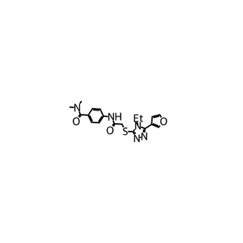 CCn1c(SCC(=O)Nc2ccc(C(=O)N(C)C)cc2)nnc1-c1ccoc1